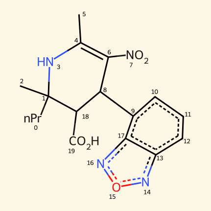 CCCC1(C)NC(C)=C([N+](=O)[O-])C(c2cccc3nonc23)C1C(=O)O